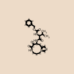 CC(C)C(NC(=O)OCc1ccccc1)C(=O)NC1Cc2cncn2CCCNC(=O)C1=O